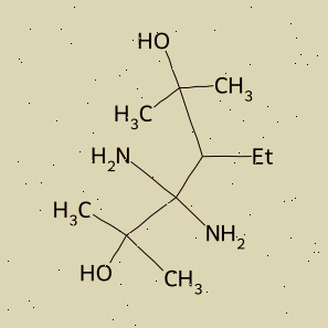 CCC(C(C)(C)O)C(N)(N)C(C)(C)O